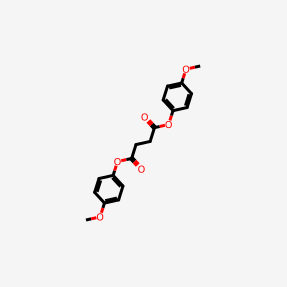 COc1ccc(OC(=O)CCC(=O)Oc2ccc(OC)cc2)cc1